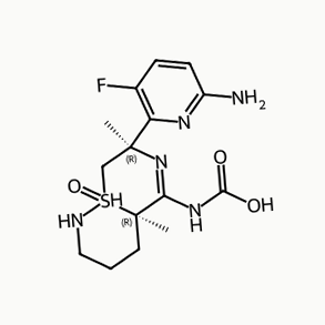 C[C@@]1(c2nc(N)ccc2F)C[SH]2(=O)NCCC[C@]2(C)C(NC(=O)O)=N1